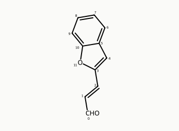 O=C/C=C/c1cc2ccccc2o1